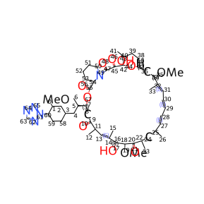 COC1CC(CC(C)[C@@H]2CC(=O)C(C)/C=C(\C)[C@@H](O)C(OC)C(=O)C(C)CC(C)/C=C/C=C/C=C(\C)[C@@H](OC)C[C@@H]3CCC(C)C(O)(O3)C(=O)C(=O)N3CCCCC3C(=O)O2)CCC1n1ncnn1